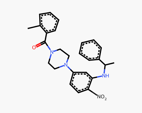 Cc1ccccc1C(=O)N1CCN(c2ccc([N+](=O)[O-])c(NC(C)c3ccccc3)c2)CC1